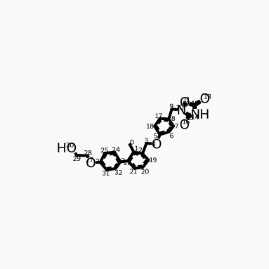 Cc1c(COc2ccc(Cn3oc(=O)[nH]c3=O)cc2)cccc1-c1ccc(OCCO)cc1